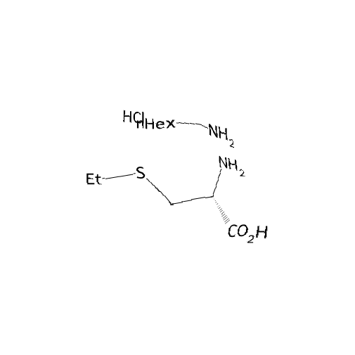 CCCCCCN.CCSC[C@H](N)C(=O)O.Cl